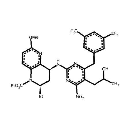 CCOC(=O)N1c2ccc(OC)nc2[C@@H](Nc2nc(N)c(CC(C)O)c(Cc3cc(C(F)(F)F)cc(C(F)(F)F)c3)n2)C[C@H]1CC